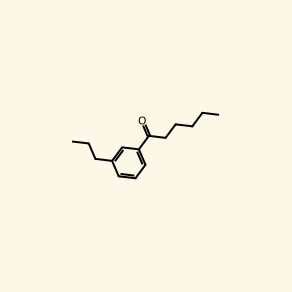 CCCCCC(=O)c1cccc(CCC)c1